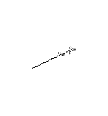 CCC=CCC=CCC=CCC=CCC=CCC=CCCC(=O)NCCOCCNC(=O)O